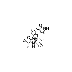 CC(C)n1nccc1C(=O)NC(C(=O)Nc1cnn(C(C)c2cc(F)c[nH]c2=O)c1F)C(C1CC1)C1CC1